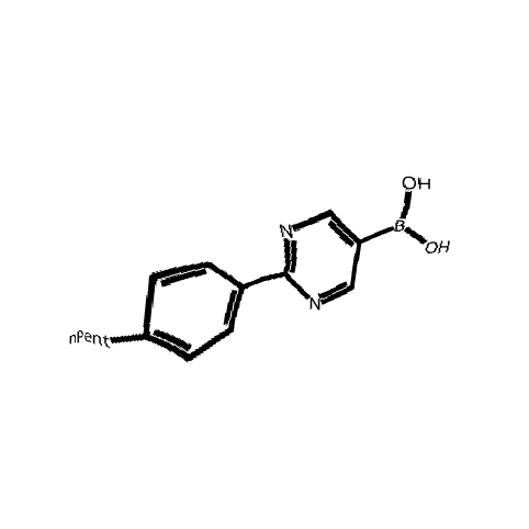 CCCCCc1ccc(-c2ncc(B(O)O)cn2)cc1